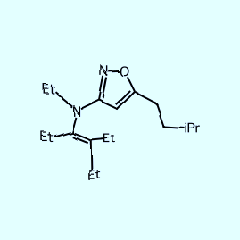 CCC(CC)=C(CC)N(CC)c1cc(CCC(C)C)on1